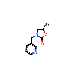 CC(C)[C@@H]1CN(Cc2cccnc2)C(=O)O1